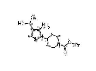 CC(C)OC(=O)N1CCC(n2ncc(C(C)O)c2N)CC1